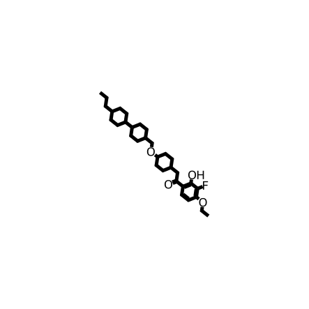 CCCC1CCC(C2CCC(COC3CCC(CC(=O)c4ccc(OCC)c(F)c4O)CC3)CC2)CC1